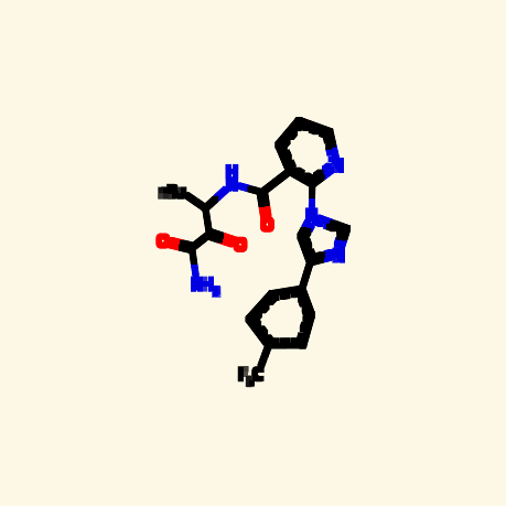 CCCCC(NC(=O)c1cccnc1-n1cnc(-c2ccc(C(F)(F)F)cc2)c1)C(=O)C(N)=O